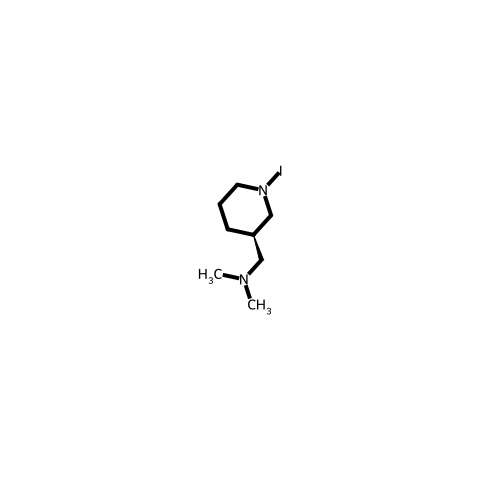 CN(C)C[C@H]1CCCN(I)C1